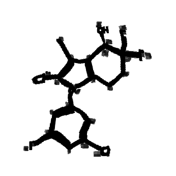 Cc1c2c(n(-c3cc(F)cc(Cl)c3)c1Cl)CCC(F)(F)[C@H]2O